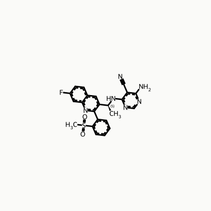 C[C@H](Nc1ncnc(N)c1C#N)c1cc2ccc(F)cc2nc1-c1ccccc1S(C)(=O)=O